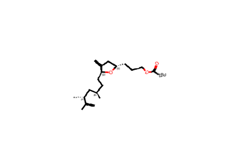 C=C(C)[C@H](C)C[C@H](C)CC[C@@H]1O[C@@H](CCCOC(=O)C(C)(C)C)CC1=C